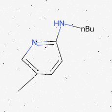 CCCCNc1ccc(C)cn1